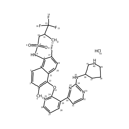 Cc1ccc2c(NS(=O)(=O)CC(C)C(F)(F)F)c(F)ccc2c1Oc1ncccc1-c1ccnc(NC2CCCNC2)n1.Cl